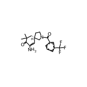 CC1(C)C[C@]2(C=C(N)C1=O)CCN(C(=O)c1cccc(C(F)(F)F)c1)C2